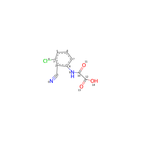 N#Cc1c(Cl)cccc1NC(=O)C(=O)O